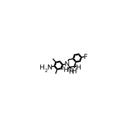 [2H]C1([2H])c2cc(F)ccc2CN(c2cc(C)c(N)c(C)c2)C1([2H])[2H]